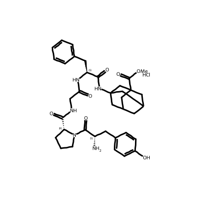 COC(=O)C12CC3CC(CC(NC(=O)[C@H](Cc4ccccc4)NC(=O)CNC(=O)[C@H]4CCCN4C(=O)[C@@H](N)Cc4ccc(O)cc4)(C3)C1)C2.Cl